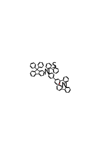 c1ccc(C2(c3ccccc3)c3ccccc3-c3ccc(N(c4ccc(-c5cccc(-c6ccccc6-n6c7ccccc7c7ccccc76)c5)cc4)c4cccc5sc6ccccc6c45)cc32)cc1